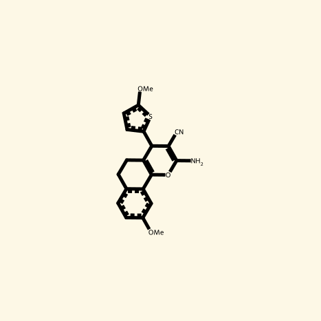 COc1ccc2c(c1)C1=C(CC2)C(c2ccc(OC)s2)C(C#N)=C(N)O1